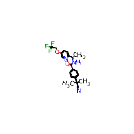 CC(NC(=O)c1ccc(C(C)(C)C#N)cc1)c1ccc(OCC(F)(F)F)cn1